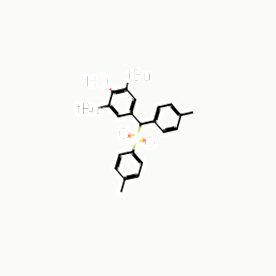 Cc1ccc(C(c2cc(C(C)(C)C)c(O)c(C(C)(C)C)c2)S(=O)(=O)c2ccc(C)cc2)cc1